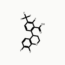 O=C(O)c1c(C2CCOc3c2ccc(F)c3F)ccc(C(F)(F)F)c1F